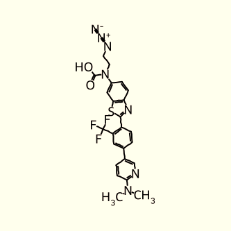 CN(C)c1ccc(-c2ccc(-c3nc4ccc(N(CCN=[N+]=[N-])C(=O)O)cc4s3)c(C(F)(F)F)c2)cn1